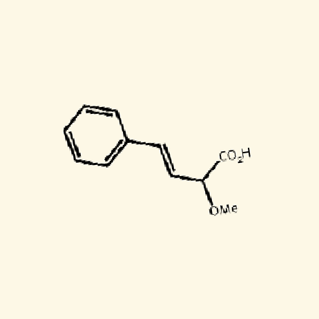 COC(C=Cc1ccccc1)C(=O)O